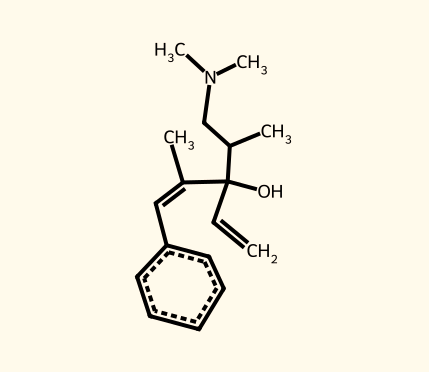 C=CC(O)(C(C)=Cc1ccccc1)C(C)CN(C)C